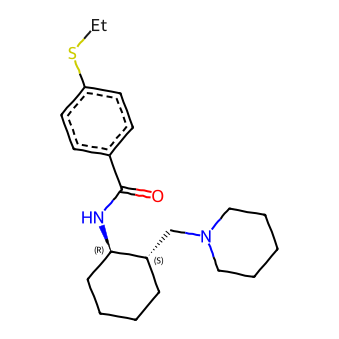 CCSc1ccc(C(=O)N[C@@H]2CCCC[C@H]2CN2CCCCC2)cc1